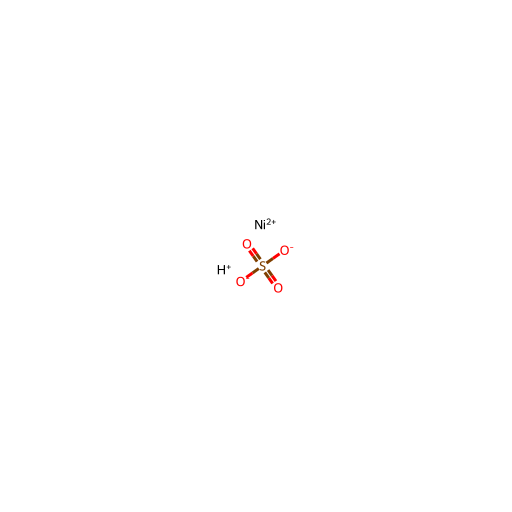 O=S(=O)([O-])[O-].[H+].[Ni+2]